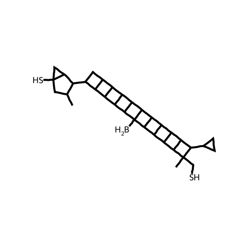 BC12C3C4C5C6C(CC6C6C(C)CC7(S)CC67)C5C4C3C1C1C3C4C(C3C12)C1C4C(C2CC2)C1(C)CS